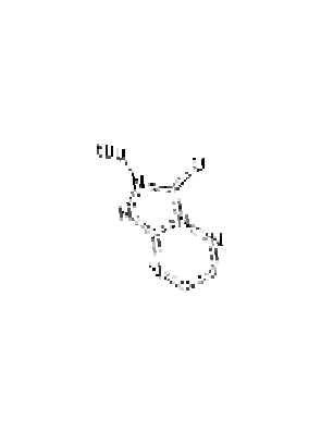 CC(C)(C)n1nc2nccnn2c1=O